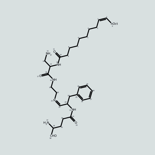 CCCCCCCC/C=C\CCCCCCCC(=O)NC(CN)C(=O)NCC/N=C\C(Cc1ccccc1)NC(=O)CCC(N)C=O